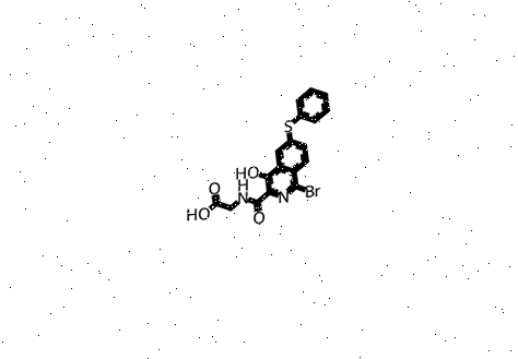 O=C(O)CNC(=O)c1nc(Br)c2ccc(Sc3ccccc3)cc2c1O